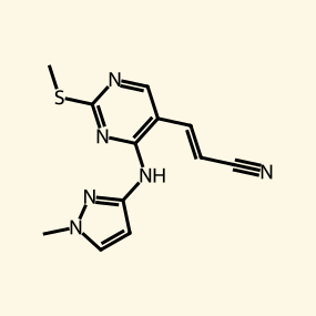 CSc1ncc(C=CC#N)c(Nc2ccn(C)n2)n1